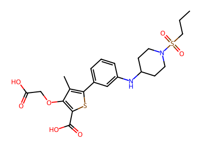 CCCS(=O)(=O)N1CCC(Nc2cccc(-c3sc(C(=O)O)c(OCC(=O)O)c3C)c2)CC1